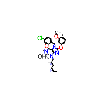 C/C=C\C=C(/C)CN(C=O)c1nc(Oc2cccc(OC(F)(F)F)c2)n(Cc2ccc(Cl)cc2)c1C(=O)N(C)C